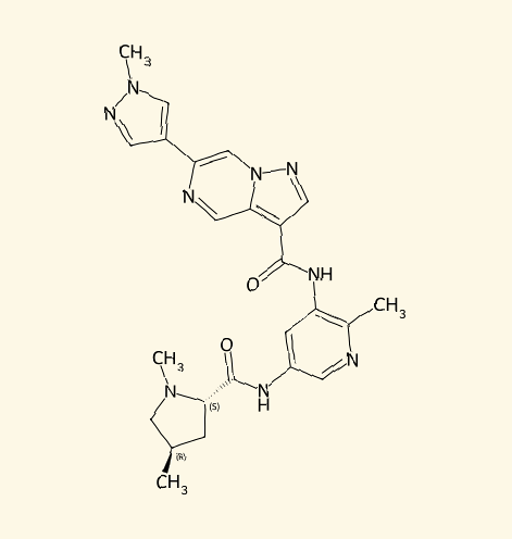 Cc1ncc(NC(=O)[C@@H]2C[C@@H](C)CN2C)cc1NC(=O)c1cnn2cc(-c3cnn(C)c3)ncc12